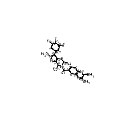 Bc1nc2ccc(C(=O)N3C(CC)Cc4c(nn(C)c4-c4cc(F)c(F)c(F)c4)C3CC)cc2nc1B